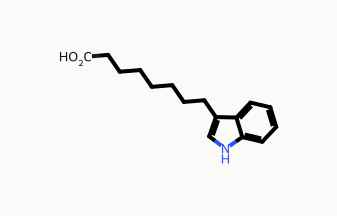 O=C(O)CCCCCCCc1c[nH]c2ccccc12